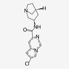 O=C(N[C@@H]1C[C@H]2CCN(C2)C1)c1cc2cc(Cl)cn2cn1